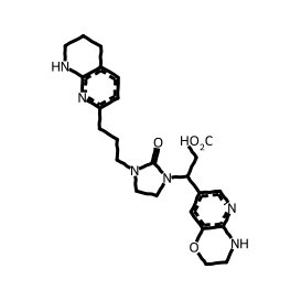 O=C(O)CC(c1cnc2c(c1)OCCN2)N1CCN(CCCc2ccc3c(n2)NCCC3)C1=O